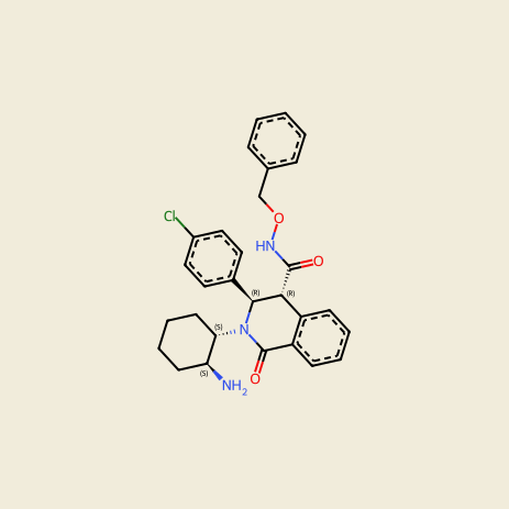 N[C@H]1CCCC[C@@H]1N1C(=O)c2ccccc2[C@@H](C(=O)NOCc2ccccc2)[C@@H]1c1ccc(Cl)cc1